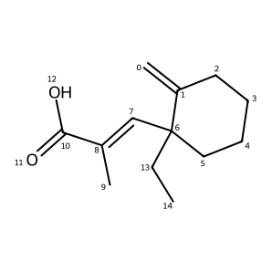 C=C1CCCCC1(/C=C(\C)C(=O)O)CC